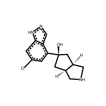 O[C@@]1(c2cc(Cl)cc3[nH]ncc23)C[C@H]2CNC[C@H]2C1